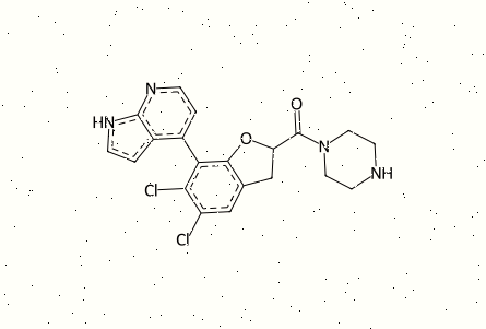 O=C(C1Cc2cc(Cl)c(Cl)c(-c3ccnc4[nH]ccc34)c2O1)N1CCNCC1